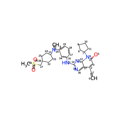 C#Cc1cc(=O)n(C2CCCC2)c2nc(Nc3cccc(N(C)C4CCC(CS(C)(=O)=O)CC4)c3)ncc12